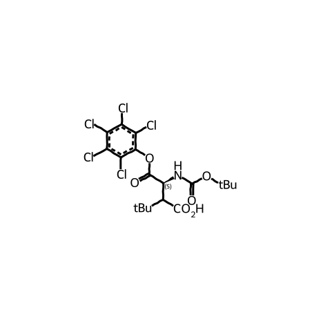 CC(C)(C)OC(=O)N[C@H](C(=O)Oc1c(Cl)c(Cl)c(Cl)c(Cl)c1Cl)C(C(=O)O)C(C)(C)C